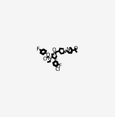 CCN(C(=O)Oc1ccc(F)cc1)[C@@H]1CN(C(=O)C2CCN(c3ccc(C(C)=O)cn3)CC2)C[C@H]1c1ccc(Cl)c(F)c1